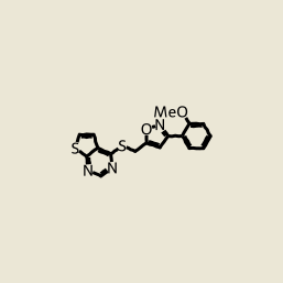 COc1ccccc1-c1cc(CSc2ncnc3sccc23)on1